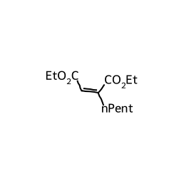 CCCCCC(=CC(=O)OCC)C(=O)OCC